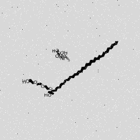 CCCCCCCCCCCCCCCCCCCCCCCCCCCCCCC(OCCOCCOCCO)C(C)(C)O.N.N.O=S(O)O